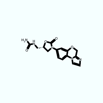 NC(=O)NC[C@H]1CN(c2ccc3c(c2)OCc2nccn2-3)C(=O)O1